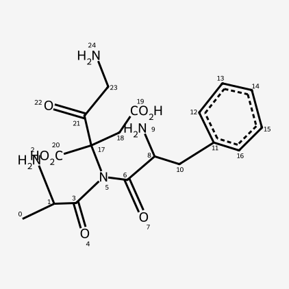 CC(N)C(=O)N(C(=O)C(N)Cc1ccccc1)C(CC(=O)O)(C(=O)O)C(=O)CN